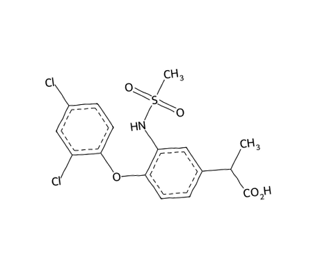 CC(C(=O)O)c1ccc(Oc2ccc(Cl)cc2Cl)c(NS(C)(=O)=O)c1